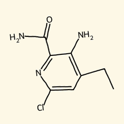 CCc1cc(Cl)nc(C(N)=O)c1N